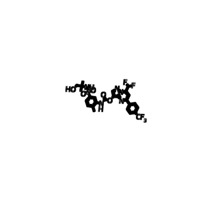 Cc1ccc(S(=O)(=O)NC(C)(C)CO)cc1NC(=O)Oc1cnn2c(C(F)F)cc(-c3ccc(C(F)(F)F)cc3)nc12